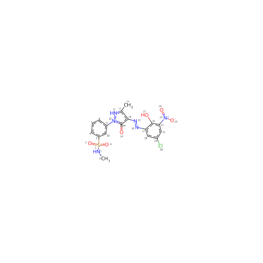 CNS(=O)(=O)c1cccc(-n2[nH]c(C)c(N=Nc3cc(Cl)cc([N+](=O)[O-])c3O)c2=O)c1